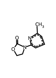 Cc1cccc(N2CCOC2=O)n1